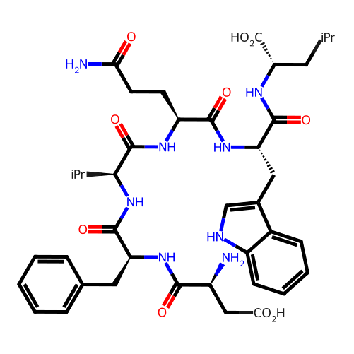 CC(C)C[C@H](NC(=O)[C@H](Cc1c[nH]c2ccccc12)NC(=O)[C@H](CCC(N)=O)NC(=O)[C@@H](NC(=O)[C@H](Cc1ccccc1)NC(=O)[C@@H](N)CC(=O)O)C(C)C)C(=O)O